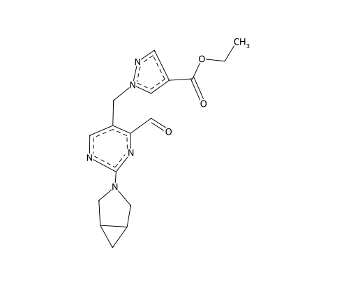 CCOC(=O)c1cnn(Cc2cnc(N3CC4CC4C3)nc2C=O)c1